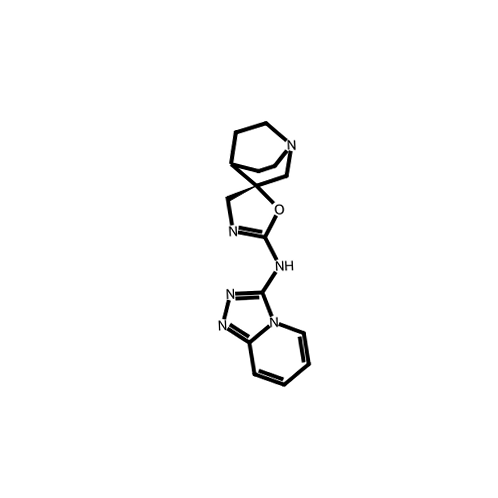 c1ccn2c(NC3=NC[C@@]4(CN5CCC4CC5)O3)nnc2c1